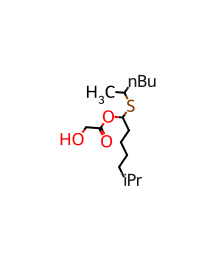 CCCCC(C)SC(CCCCC(C)C)OC(=O)CO